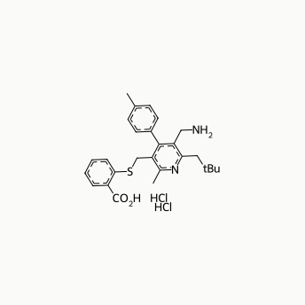 Cc1ccc(-c2c(CSc3ccccc3C(=O)O)c(C)nc(CC(C)(C)C)c2CN)cc1.Cl.Cl